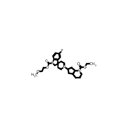 CCOC(=O)N1CCCC2CC(N3CCC4(CC3)CN(C(=O)OCCOC)c3ccc(F)cc34)CC21